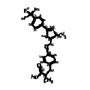 Cc1nc(-c2ccc(C(F)(F)F)cc2)sc1COc1ccc(CC(C)C(=O)O)cc1